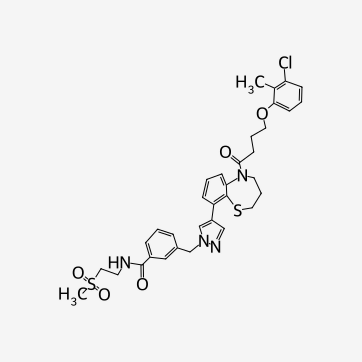 Cc1c(Cl)cccc1OCCCC(=O)N1CCCSc2c(-c3cnn(Cc4cccc(C(=O)NCCS(C)(=O)=O)c4)c3)cccc21